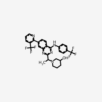 CC(c1nc(Nc2ccc(C(F)(F)F)cc2)c2ccc(-c3ncccc3C(F)(F)F)cc2n1)N1CCCC(O)C1